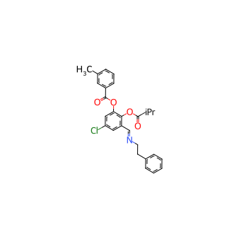 Cc1cccc(C(=O)Oc2cc(Cl)cc(C=NCCc3ccccc3)c2OC(=O)C(C)C)c1